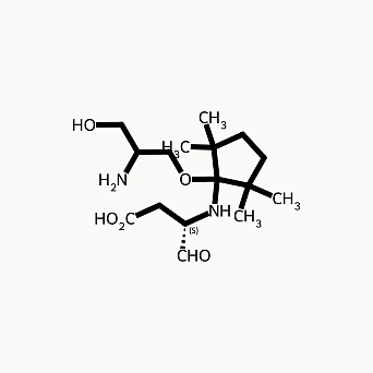 CC1(C)CCC(C)(C)C1(N[C@H](C=O)CC(=O)O)OCC(N)CO